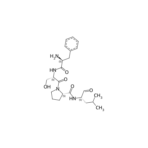 CC(C)C[C@@H](C=O)NC(=O)[C@@H]1CCCN1C(=O)[C@H](CO)NC(=O)[C@@H](N)Cc1ccccc1